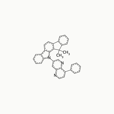 CC1(C)c2ccccc2-c2ccc3c4ccccc4n(-c4cnc5c(-c6ccccc6)ccnc5c4)c3c21